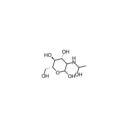 CC(O)NC1C(O)O[C@H](CO)[C@@H](O)[C@@H]1O